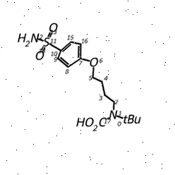 CC(C)(C)N(CCCCOc1ccc(S(N)(=O)=O)cc1)C(=O)O